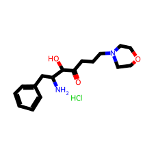 Cl.NC(Cc1ccccc1)C(O)C(=O)CCCN1CCOCC1